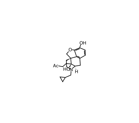 CC(=O)CC[C@@]1(O)[C@H]2Cc3ccc(O)c4c3[C@@]1(CCN2CC1CC1)CO4